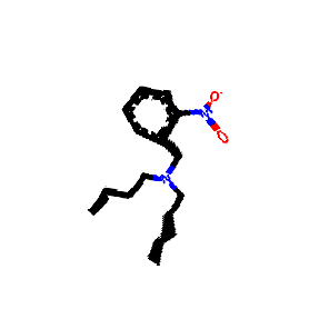 C=CCCN(CCC=C)Cc1ccccc1[N+](=O)[O-]